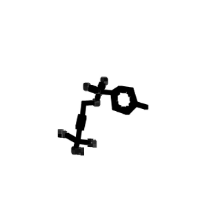 CCC(O)(C#CCOS(=O)(=O)c1ccc(C)cc1)CC